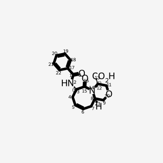 O=C(N[C@H]1CC=CC[C@H]2COC[C@@H](C(=O)O)N2C1=O)c1ccccc1